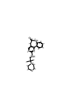 CC(C)(CNc1ncc2c(n1)-c1ccccc1NC(=O)C2)N1CCOCC1